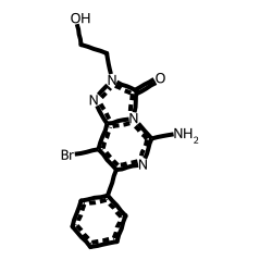 Nc1nc(-c2ccccc2)c(Br)c2nn(CCO)c(=O)n12